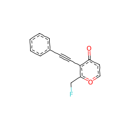 O=c1ccoc(CF)c1C#Cc1ccccc1